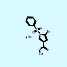 COC(=O)c1cc(Br)n(S(=O)(=O)c2ccccc2)c1.[H-].[Na+]